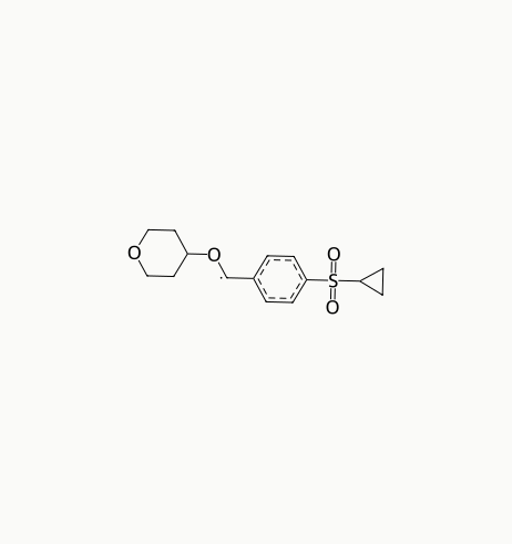 O=S(=O)(c1ccc([CH]OC2CCOCC2)cc1)C1CC1